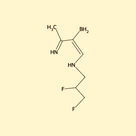 B/C(=C/NCC(F)CF)C(C)=N